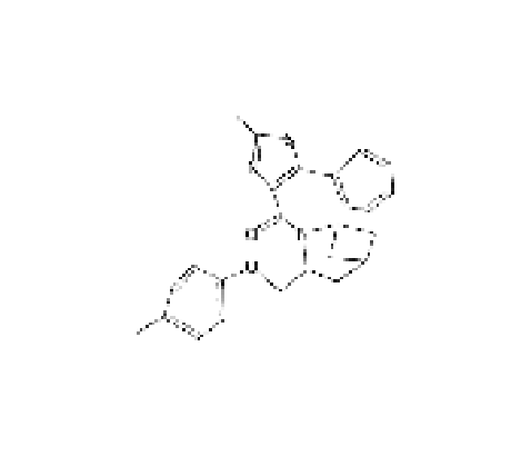 Cc1ccc(OCC2CC3CC(C3)N2C(=O)c2nc(C)sc2-c2ccccc2)cc1